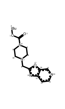 CC(C)(C)OC(=O)N1CCN(Cc2nc3ccncc3o2)CC1